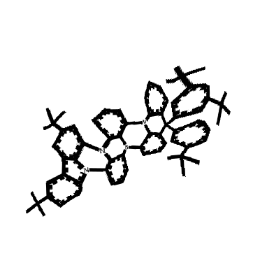 CC(C)(C)c1cccc(C2(c3cc(C(C)(C)C)cc(C(C)(C)C)c3)c3ccccc3N3c4cccc5c4B(c4cccc6c4N5c4cc(C(C)(C)C)cc5c7cc(C(C)(C)C)ccc7n-6c45)c4cccc2c43)c1